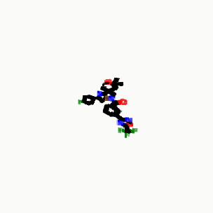 CC1(C)CC(CNC(=O)c2cccc(-c3noc(C(F)(F)F)n3)c2)(c2nc(-c3ccc(F)cc3)cs2)CCO1